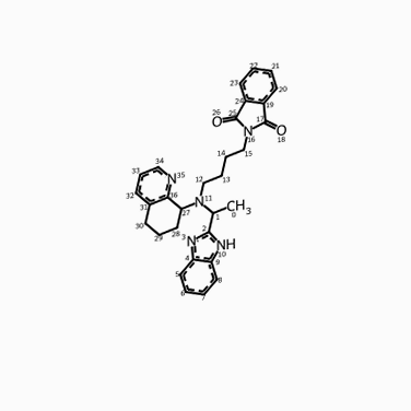 CC(c1nc2ccccc2[nH]1)N(CCCCN1C(=O)c2ccccc2C1=O)C1CCCc2cccnc21